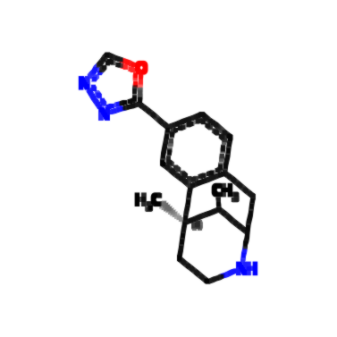 CC1C2Cc3ccc(-c4nnco4)cc3[C@]1(C)CCN2